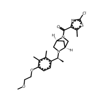 COCCOc1ccc([C@H](C)N2C[C@@H]3C[C@H]2CN3C(=O)c2nc(Cl)sc2C)c(C)c1C